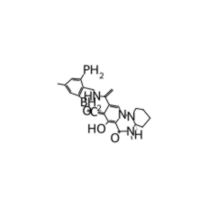 Bc1cc(C)cc(P)c1CNC(=C)C1=CN2C(=C(O)C1=C=O)C(=O)N(C)[C@@H]1CCCCN12